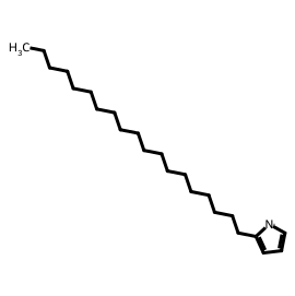 CCCCCCCCCCCCCCCCCCCC1=CC=C[N]1